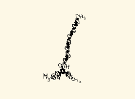 CCCOCCOCCOCCOCCOCCOCCOCCOCCNC(=O)c1cc(-c2cnc(SC)nc2)cc(-c2cnc(SC)nc2)c1